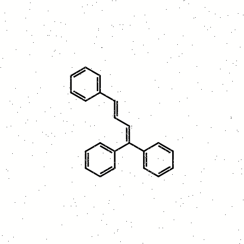 [C](C=Cc1ccccc1)=C(c1ccccc1)c1ccccc1